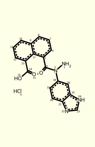 Cl.NN(C(=O)c1cccc2cccc(C(=O)O)c12)c1ccc2nc[nH]c2c1